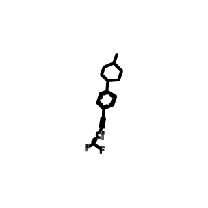 CC1CCC(c2ccc(C#[C][Cf]=[C](F)F)cc2)CC1